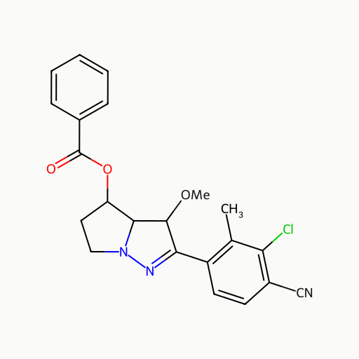 COC1C(c2ccc(C#N)c(Cl)c2C)=NN2CCC(OC(=O)c3ccccc3)C12